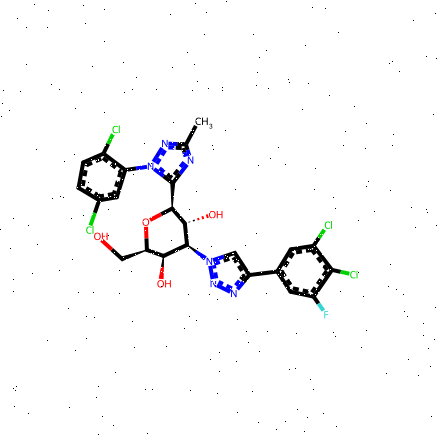 Cc1nc([C@@H]2O[C@H](CO)[C@H](O)[C@H](n3cc(-c4cc(F)c(Cl)c(Cl)c4)nn3)[C@H]2O)n(-c2cc(Cl)ccc2Cl)n1